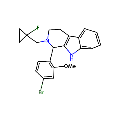 COc1cc(Br)ccc1C1c2[nH]c3ccccc3c2CCN1CC1(F)CC1